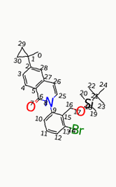 CC1(c2ccc3c(=O)n(-c4cccc(Br)c4CO[Si](C)(C)C(C)(C)C)ccc3c2)CC1